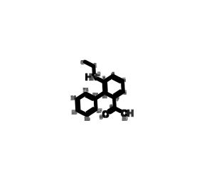 CCNc1cccc(C(=O)O)c1-c1ccccc1